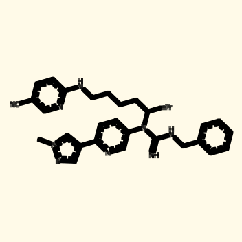 CCCC(CCCCNc1ccc(C#N)cn1)N(C(=N)NCc1ccccc1)c1ccc(-c2cnn(C)c2)nc1